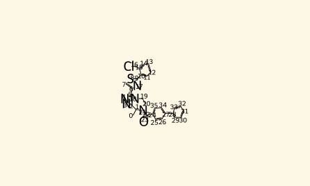 CC1c2nnc(-c3csc(-c4ccccc4Cl)n3)n2CCN1C(=O)c1ccc(-c2ccccc2)cc1